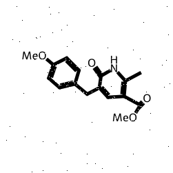 COC(=O)c1cc(Cc2ccc(OC)cc2)c(=O)[nH]c1C